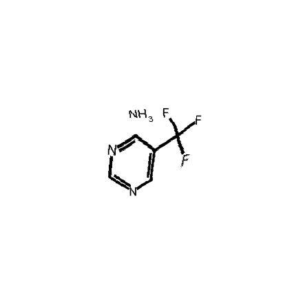 FC(F)(F)c1cncnc1.N